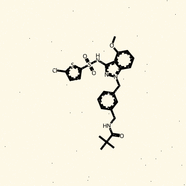 COc1cccc2c1c(NS(=O)(=O)c1ccc(Cl)s1)nn2Cc1cccc(CNC(=O)C(C)(C)C)c1